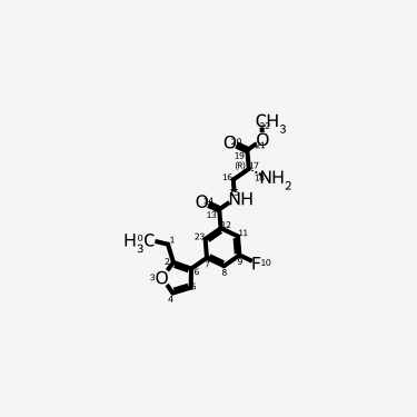 CCc1occc1-c1cc(F)cc(C(=O)NC[C@@H](N)C(=O)OC)c1